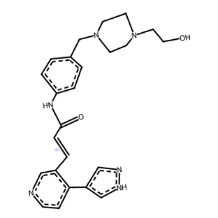 O=C(/C=C/c1cnccc1-c1cn[nH]c1)Nc1ccc(CN2CCN(CCO)CC2)cc1